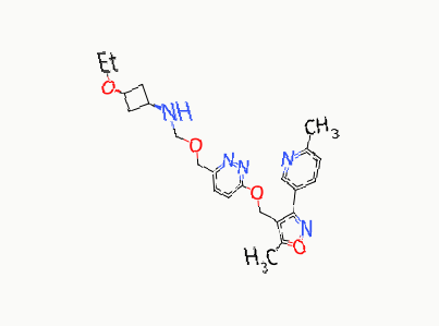 CCO[C@H]1C[C@@H](NCOCc2ccc(OCc3c(-c4ccc(C)nc4)noc3C)nn2)C1